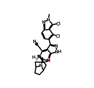 Cn1nc2ccc(-c3n[nH]c4nc(N5C6CCC5CC(C)(N)C6)nc(C#N)c34)c(Cl)c2c1Cl